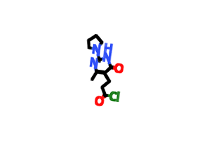 Cc1nc(N2CCCC2)[nH]c(=O)c1CCC(=O)Cl